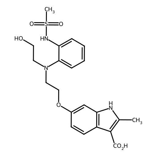 Cc1[nH]c2cc(OCCN(CCO)c3ccccc3NS(C)(=O)=O)ccc2c1C(=O)O